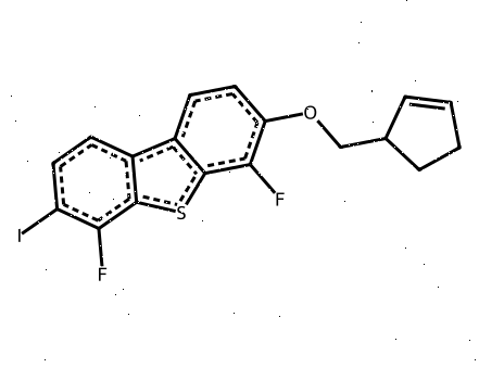 Fc1c(I)ccc2c1sc1c(F)c(OCC3C=CCC3)ccc12